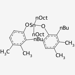 CCCCCCC[CH2][Sn]([CH2]CCCCCCC)([O]c1ccc(C)c(C)c1CCCC)[O]c1ccc(C)c(C)c1CCCC